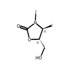 O=C1O[C@@H](CO)[C@H](I)N1I